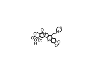 CC[C@@]1(O)C(=O)OCc2c1cc1n(c2=O)Cc2c-1nc1cc3c(cc1c2CCN1CCSCC1)OCO3